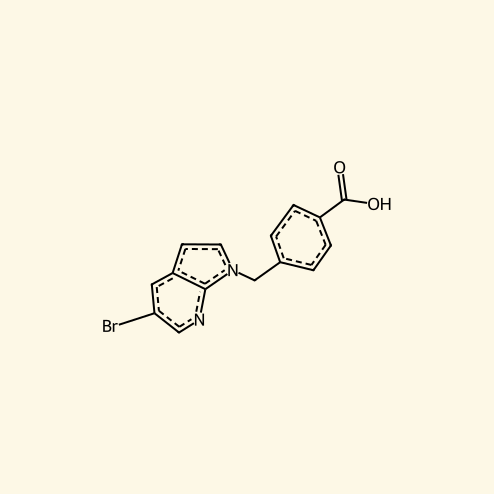 O=C(O)c1ccc(Cn2ccc3cc(Br)cnc32)cc1